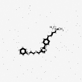 CN(C)CC=CCc1ccc(-c2nnc(CSCCOc3ccccc3)o2)cc1